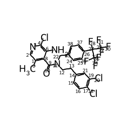 Cc1cnc(Cl)c(N)c1C(=O)N(CCc1ccc(Cl)c(Cl)c1)Cc1ccc(C(F)(C(F)(F)F)C(F)(F)F)cc1